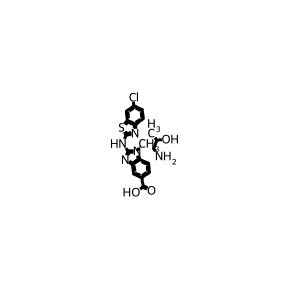 CC(O)CN.Cn1c(Nc2nc3ccc(Cl)cc3s2)nc2cc(C(=O)O)ccc21